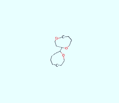 C1CCCOC(C2CCOCCCCO2)CCC1